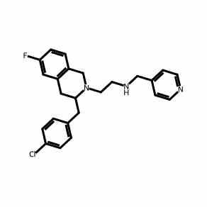 Fc1ccc2c(c1)CC(Cc1ccc(Cl)cc1)N(CCNCc1ccncc1)C2